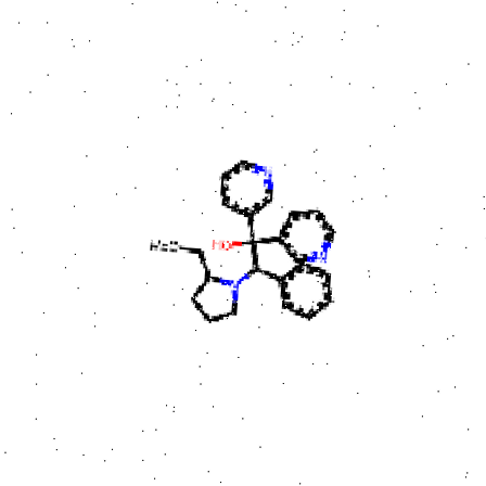 COCC1CCCN1C(c1ccccc1)C(O)(c1cccnc1)c1cccnc1